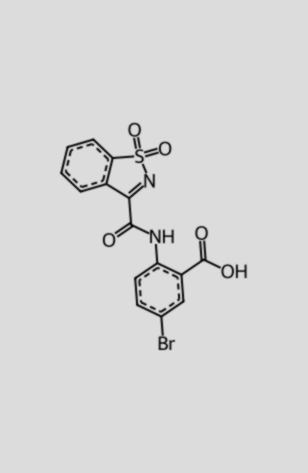 O=C(Nc1ccc(Br)cc1C(=O)O)C1=NS(=O)(=O)c2ccccc21